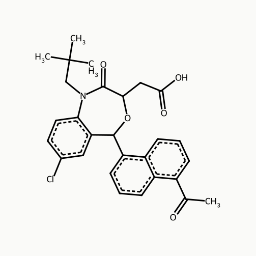 CC(=O)c1cccc2c(C3OC(CC(=O)O)C(=O)N(CC(C)(C)C)c4ccc(Cl)cc43)cccc12